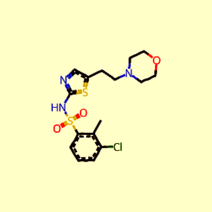 Cc1c(Cl)cccc1S(=O)(=O)Nc1ncc(CCN2CCOCC2)s1